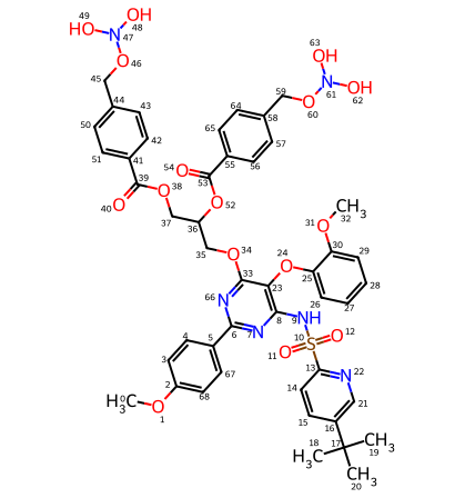 COc1ccc(-c2nc(NS(=O)(=O)c3ccc(C(C)(C)C)cn3)c(Oc3ccccc3OC)c(OCC(COC(=O)c3ccc(CON(O)O)cc3)OC(=O)c3ccc(CON(O)O)cc3)n2)cc1